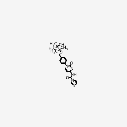 CC(C)(C)[Si](C)(C)OCc1ccc(-n2ccc(NC(=O)n3ccnc3)nc2=O)cc1